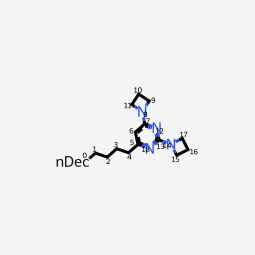 CCCCCCCCCCCCCCc1cc(N2CCC2)nc(N2CCC2)n1